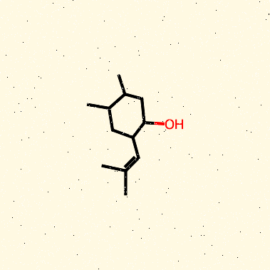 CC(C)=CC1CC(C)C(C)CC1O